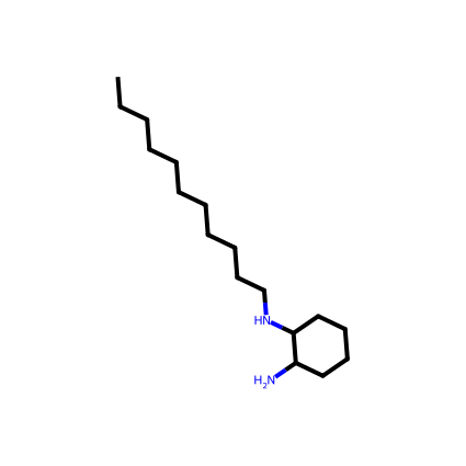 CCCCCCCCCCCNC1CCCCC1N